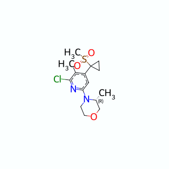 Cc1c(C2(S(C)(=O)=O)CC2)cc(N2CCOC[C@H]2C)nc1Cl